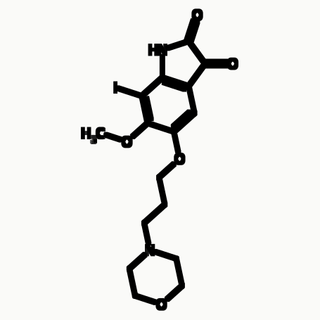 COc1c(OCCCN2CCOCC2)cc2c(c1I)NC(=O)C2=O